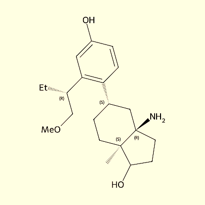 CC[C@@H](COC)c1cc(O)ccc1[C@H]1CC[C@]2(C)C(O)CC[C@@]2(N)C1